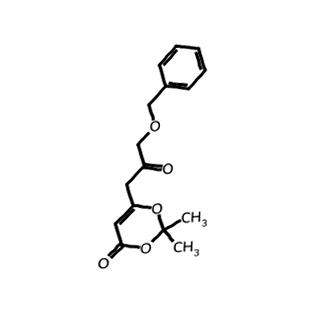 CC1(C)OC(=O)C=C(CC(=O)COCc2ccccc2)O1